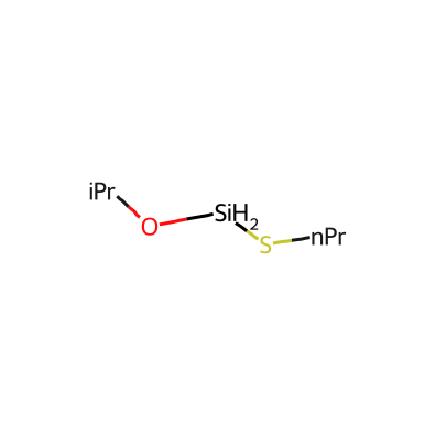 CCCS[SiH2]OC(C)C